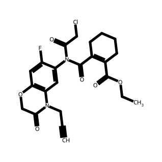 C#CCN1C(=O)COc2cc(F)c(N(C(=O)CCl)C(=O)C3=C(C(=O)OCC)CCCC3)cc21